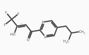 CC(C)Cc1cnc(C(=O)/C=C(\O)C(F)(F)F)nc1